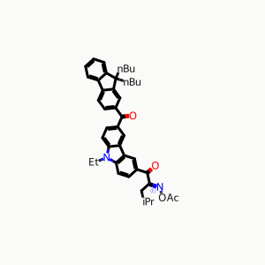 CCCCC1(CCCC)c2ccccc2-c2ccc(C(=O)c3ccc4c(c3)c3cc(C(=O)/C(CC(C)C)=N/OC(C)=O)ccc3n4CC)cc21